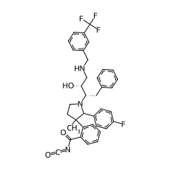 CC1(c2ccccc2C(=O)N=C=O)CCN([C@@H](Cc2ccccc2)[C@H](O)CNCc2cccc(C(F)(F)F)c2)C1c1ccc(F)cc1